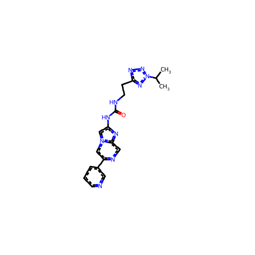 CC(C)n1nnc(CCNC(=O)Nc2cn3cc(-c4cccnc4)ncc3n2)n1